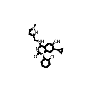 Cn1ccc(CNc2nc(=O)n(-c3ccccc3Cl)c3cc(C4CC4)c(C#N)cc23)n1